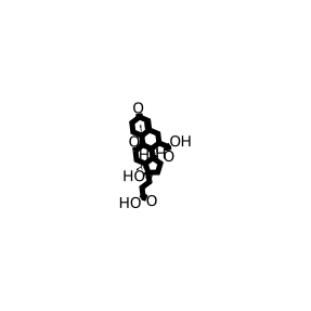 C[C@]12CCC(=O)C=C1CC(C(=O)O)[C@H]1[C@@H]3CC[C@](O)(CCC(=O)O)[C@@]3(C)CC3O[C@]312